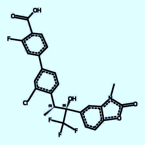 C[C@H](c1ccc(-c2ccc(C(=O)O)c(F)c2)cc1Cl)[C@@](O)(c1ccc2oc(=O)n(C)c2c1)C(F)(F)F